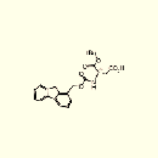 CC(C)(C)OC(=O)[C@H](CC(=O)O)NC(=O)OCc1cccc2c1Cc1ccccc1-2